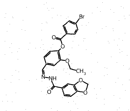 CCOc1cc(/C=N\NC(=O)c2ccc3c(c2)OCO3)ccc1OC(=O)c1ccc(Br)cc1